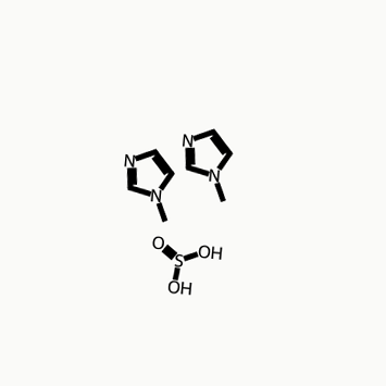 Cn1ccnc1.Cn1ccnc1.O=S(O)O